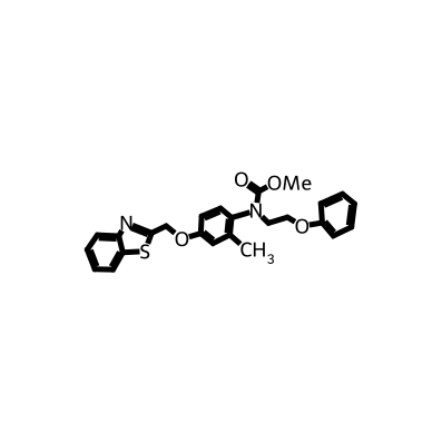 COC(=O)N(CCOc1ccccc1)c1ccc(OCc2nc3ccccc3s2)cc1C